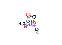 CN(Cc1cc2c3c(c1)c(=O)c(C(=O)NCc1ccc(Cl)cc1)cn3CC(=O)N2C)CC(O)c1ccccc1